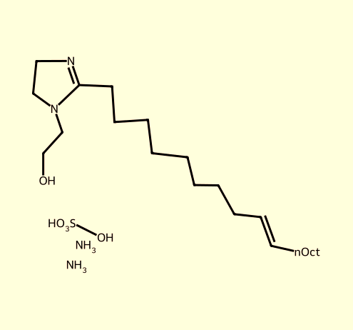 CCCCCCCCC=CCCCCCCCCC1=NCCN1CCO.N.N.O=S(=O)(O)O